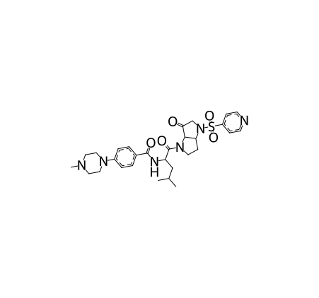 CC(C)CC(NC(=O)c1ccc(N2CCN(C)CC2)cc1)C(=O)N1CCC2C1C(=O)CN2S(=O)(=O)c1ccncc1